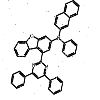 c1ccc(-c2cc(-c3ccccc3)nc(-c3cc(N(c4ccccc4)c4ccc5ccccc5c4)cc4oc5ccccc5c34)n2)cc1